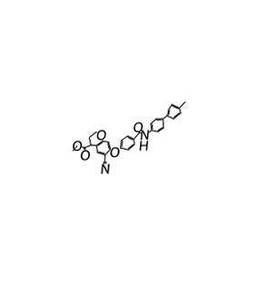 COC(=O)C1CCOc2cc(Oc3ccc(C(=O)Nc4ccc(-c5ccc(C)cc5)cc4)cc3)c(C#N)cc21